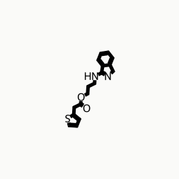 O=C(Cc1cccs1)OCCCNC1=NCc2ccccc21